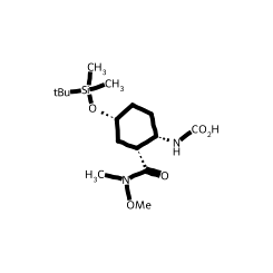 CON(C)C(=O)[C@@H]1C[C@H](O[Si](C)(C)C(C)(C)C)CC[C@@H]1NC(=O)O